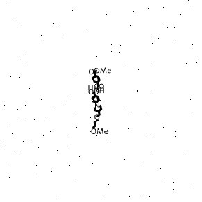 COCCCCOCC1CCN(c2ccc(C(=O)NNC(=O)c3ccc(C(=O)OC)cc3)cc2)CC1